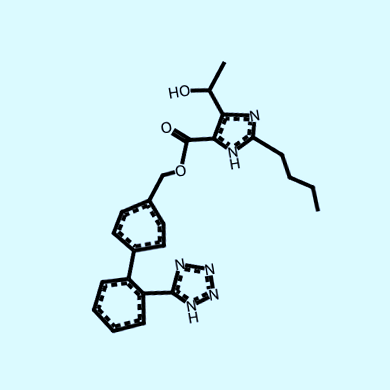 CCCCc1nc(C(C)O)c(C(=O)OCc2ccc(-c3ccccc3-c3nnn[nH]3)cc2)[nH]1